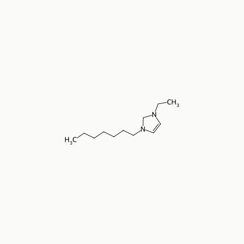 CCCCCCCN1C=CN(CC)C1